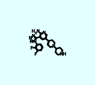 Nc1ncc(C2=CCN(C3CCNCC3)CC2)cc1-c1nnnn1-c1cccc(F)c1F